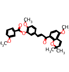 COc1cccc(C(=O)Oc2cc(/C=C/C(=O)c3ccc(OC)c4c3OC(C)(C)C=C4)ccc2OC)c1